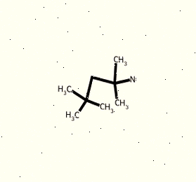 CC(C)(C)CC(C)(C)[N]